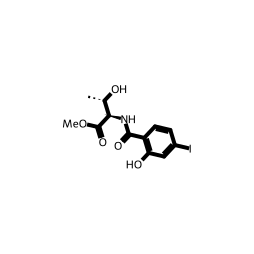 COC(=O)[C@H](NC(=O)c1ccc(I)cc1O)[C@H](C)O